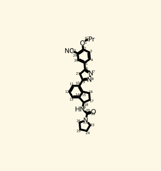 CC(C)Oc1ccc(C2=NN=C(c3cccc4c3CCC4NC(=O)N3CCCC3)C2)cc1C#N